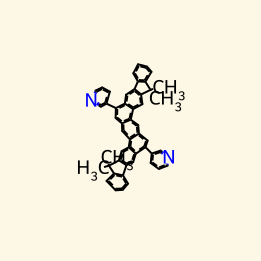 CC1(C)c2ccccc2-c2cc3c(-c4cccnc4)cc4cc5c(cc(-c6cccnc6)c6cc7c(cc65)C(C)(C)c5ccccc5-7)cc4c3cc21